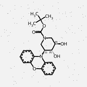 CC(C)(C)OC(=O)N1C[C@@H](O)[C@H](O)[C@@H](N2c3ccccc3Oc3ccccc32)C1